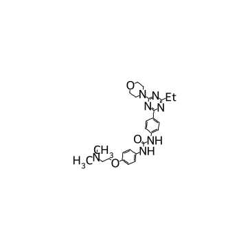 CCc1nc(-c2ccc(NC(=O)Nc3ccc(OCCN(C)C)cc3)cc2)nc(N2CCOCC2)n1